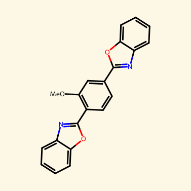 COc1cc(-c2nc3ccccc3o2)ccc1-c1nc2ccccc2o1